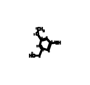 COc1cc(S)cc(CO)c1